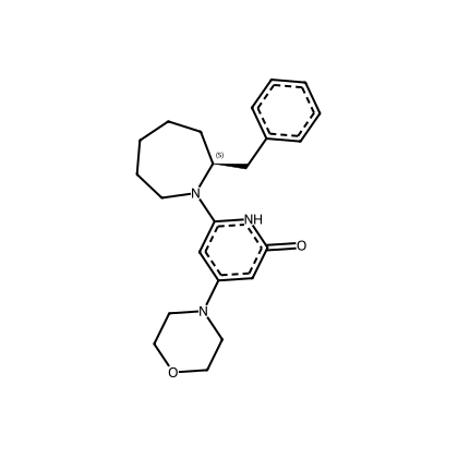 O=c1cc(N2CCOCC2)cc(N2CCCCC[C@H]2Cc2ccccc2)[nH]1